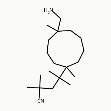 CC(C)(C#N)CC(C)(C)C1(C)CCCCC(C)(CN)CCC1